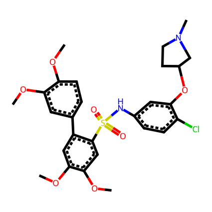 COc1ccc(-c2cc(OC)c(OC)cc2S(=O)(=O)Nc2ccc(Cl)c(OC3CCN(C)C3)c2)cc1OC